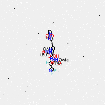 COC(=O)N[C@H](C(=O)N[C@@H](Cc1ccc(C#Cc2ccc(N3CC4CCC(C3)N4C(=O)[C@@H]3CCCO3)nc2)cc1)[C@@H](O)CN(Cc1c(F)cc(-c2cnc(F)c(F)c2)cc1F)NC(=O)[C@@H](NC(=O)OC)C(C)(C)C)C(C)(C)C